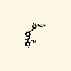 N#Cc1cnccc1-c1cc2cc(OCc3cnn(CCO)c3)ccc2o1